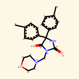 Cc1ccc(C2(c3ccc(C)cc3)NC(=O)N(CN3CCOCC3)C2=O)cc1